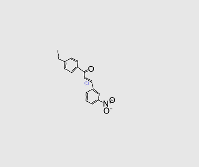 CCc1ccc(C(=O)/C=C/c2cccc([N+](=O)[O-])c2)cc1